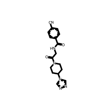 N#Cc1ccc(C(=O)NCC(=O)N2CCC(n3cnnc3)CC2)cc1